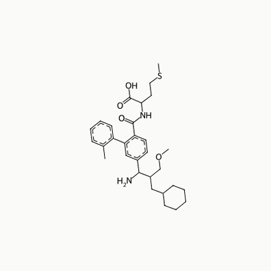 COCC(CC1CCCCC1)C(N)c1ccc(C(=O)NC(CCSC)C(=O)O)c(-c2ccccc2C)c1